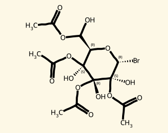 CC(=O)OC(O)[C@H]1O[C@H](Br)[C@@](O)(OC(C)=O)[C@](O)(OC(C)=O)[C@@]1(O)OC(C)=O